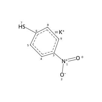 O=[N+]([O-])c1ccc(S)cc1.[K+]